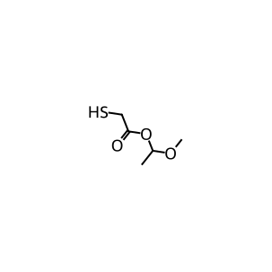 COC(C)OC(=O)CS